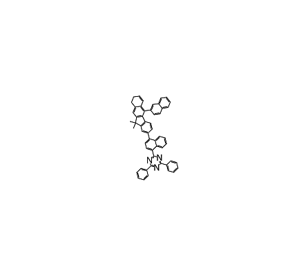 CC1(C)c2cc(-c3ccc(-c4nc(-c5ccccc5)nc(-c5ccccc5)n4)c4ccccc34)ccc2-c2c1cc1c(c2-c2ccc3ccccc3c2)C=CCC1